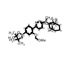 COCOc1cc(B2OC(C)(C)C(C)(C)O2)ccc1-c1ccc(N(C)[C@@H]2C[C@H]3CCC[C@@H]([C@@H]2F)N3C(=O)O)nn1